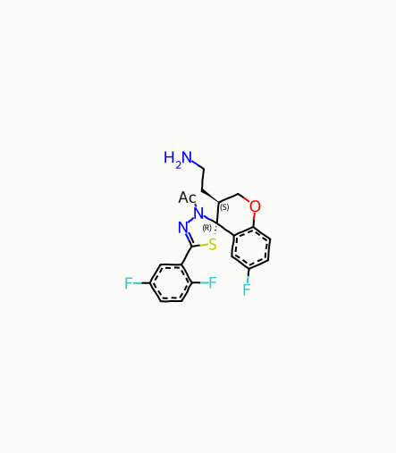 CC(=O)N1N=C(c2cc(F)ccc2F)S[C@]12c1cc(F)ccc1OC[C@@H]2CCN